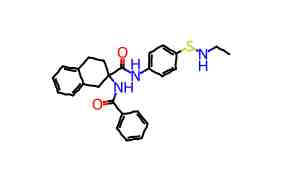 CCNSc1ccc(NC(=O)C2(NC(=O)c3ccccc3)CCc3ccccc3C2)cc1